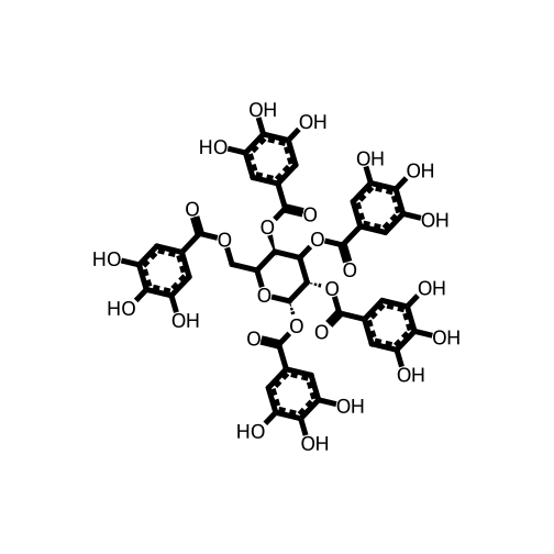 O=C(OCC1O[C@@H](OC(=O)c2cc(O)c(O)c(O)c2)[C@@H](OC(=O)c2cc(O)c(O)c(O)c2)C(OC(=O)c2cc(O)c(O)c(O)c2)[C@@H]1OC(=O)c1cc(O)c(O)c(O)c1)c1cc(O)c(O)c(O)c1